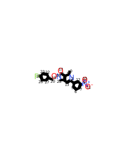 Cc1nc(-c2cccc([N+](=O)[O-])c2)cc2c1C(=O)N(OCc1ccc(F)cc1)C2